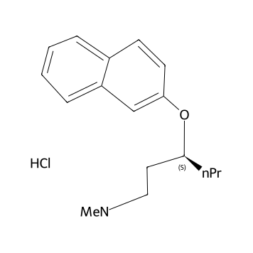 CCC[C@@H](CCNC)Oc1ccc2ccccc2c1.Cl